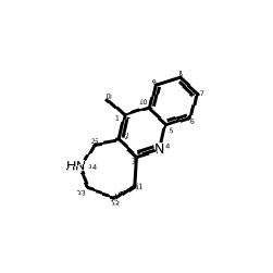 Cc1c2c(nc3ccccc13)CCCNC2